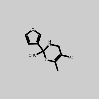 CC(=O)C1=C(C)OC(C=O)(c2ccoc2)NC1